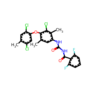 Cc1cc(Cl)c(Oc2c(C)cc(NC(=O)NC(=O)c3c(F)cccc3F)c(C)c2Cl)cc1Cl